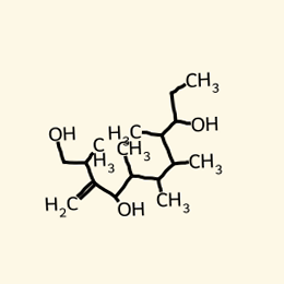 C=C(C(C)CO)C(O)C(C)C(C)C(C)C(C)C(O)CC